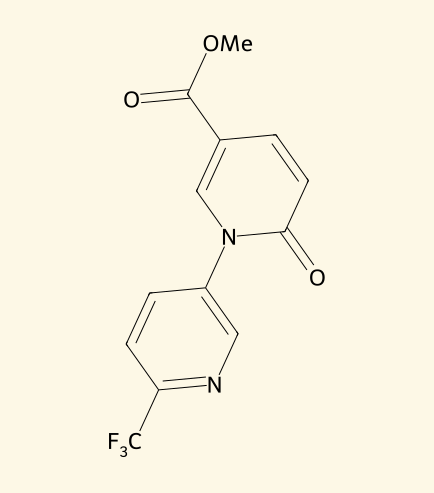 COC(=O)c1ccc(=O)n(-c2ccc(C(F)(F)F)nc2)c1